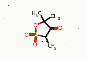 CC1(C)OS(=O)(=O)C(C(F)(F)F)C1=O